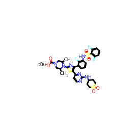 CC1CN(C(=O)OC(C)(C)C)CC(C)N1c1nc(-c2cccc(NS(=O)(=O)c3c(F)cccc3F)c2F)c(-c2ccnc(NC3CCS(=O)(=O)CC3)n2)s1